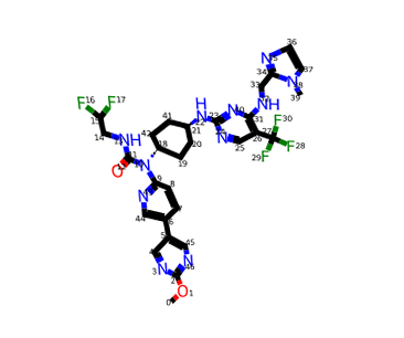 COc1ncc(-c2ccc(N(C(=O)NCC(F)F)[C@H]3CC[C@H](Nc4ncc(C(F)(F)F)c(NCc5nccn5C)n4)CC3)nc2)cn1